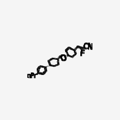 CCCc1ccc([C@H]2CC[C@H](CO[C@H]3CC[C@H](C=C(F)C#N)CC3)CC2)cc1